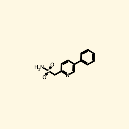 NS(=O)(=O)Cc1ccc(-c2ccccc2)cn1